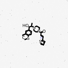 CC(C(O)c1ccc2c(c1)CCCS2)N1CCN(C(=O)/C=C/c2cccs2)CC1